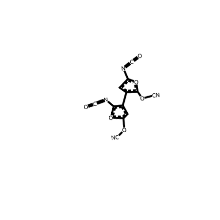 N#COc1cc(-c2cc(N=C=O)oc2OC#N)c(N=C=O)o1